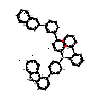 c1ccc(-c2ccccc2N(c2ccc(-c3cccc(-c4ccc5ccccc5c4)c3)cc2)c2ccc(-c3cccc4sc5ccccc5c34)cc2)cc1